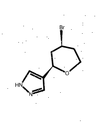 Br[C@H]1CCO[C@@H](c2cn[nH]c2)C1